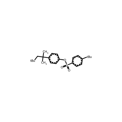 CC(C)(C)CC(C)(C)c1ccc(OS(=O)(=O)c2ccc(C(C)(C)C)cc2)cc1